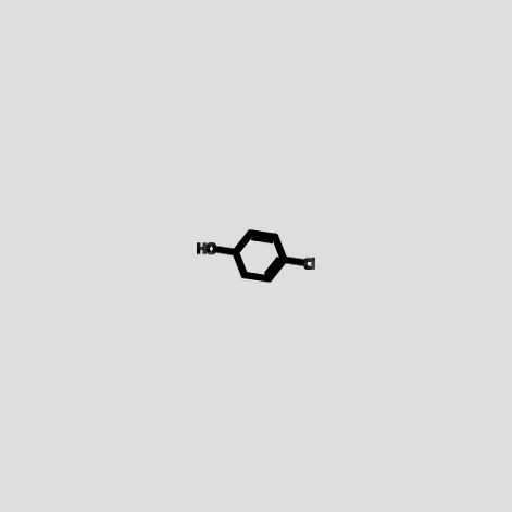 OC1C=CC(Cl)=CC1